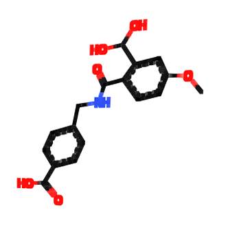 COc1ccc(C(=O)NCc2ccc(C(=O)O)cc2)c(C(O)O)c1